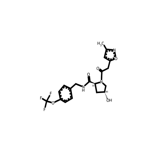 Cc1cc(CC(=O)N2C[C@H](O)C[C@H]2C(=O)NCc2ccc(OC(F)(F)F)cc2)on1